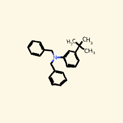 CC(C)(C)c1cccc(N(Cc2ccccc2)Cc2ccccc2)c1